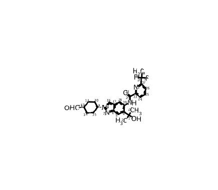 CC(C)(O)c1cc2nn([C@H]3CC[C@H](C=O)CC3)cc2cc1NC(=O)c1cccc(C(C)(F)F)n1